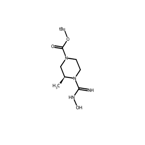 C[C@H]1CN(C(=O)OC(C)(C)C)CCN1C(=N)NO